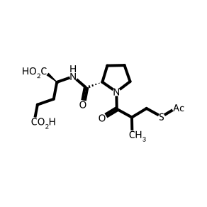 CC(=O)SCC(C)C(=O)N1CCC[C@H]1C(=O)N[C@@H](CCC(=O)O)C(=O)O